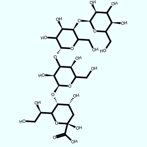 O=C(O)[C@@]1(O)C[C@@H](O)[C@@H](O[C@@H]2OC(CO)[C@H](O)C(O[C@H]3OC(CO)[C@H](O[C@@H]4OC(CO)[C@H](O)C(O)[C@@H]4O)[C@H](O)C3O)[C@@H]2O)C([C@H](O)CO)O1